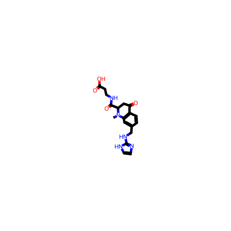 CN1c2cc(CNc3ncc[nH]3)ccc2C(=O)CC1C(=O)NCCC(=O)O